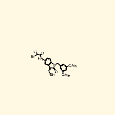 CCC(CC)C(=O)Nc1ccc2c(c1)/C(=N/O)C(=O)N2Cc1cc(OC)cc(OC)c1